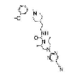 COc1cccc(CN2CCC(CCNC(=O)N3[C@H](C)CN(c4ncc(C#N)cn4)C[C@@H]3C)CC2)c1